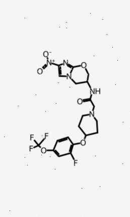 O=C(CN1CCC(Oc2ccc(OC(F)(F)F)cc2F)CC1)NC1COc2nc([N+](=O)[O-])cn2C1